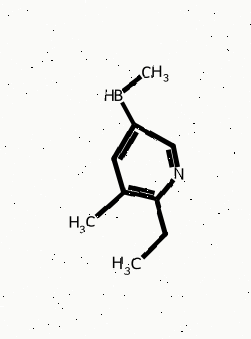 CBc1cnc(CC)c(C)c1